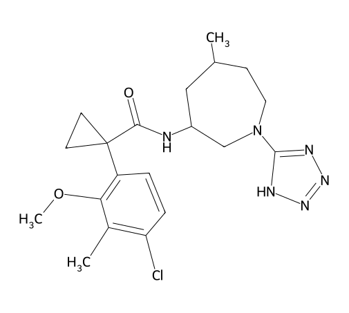 COc1c(C2(C(=O)NC3CC(C)CCN(c4nnn[nH]4)C3)CC2)ccc(Cl)c1C